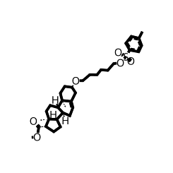 COC(=O)[C@H]1CC[C@H]2[C@@H]3CC=C4C[C@@H](OCCCCCCOS(=O)(=O)c5ccc(C)cc5)CC[C@]4(C)[C@H]3CC[C@]12C